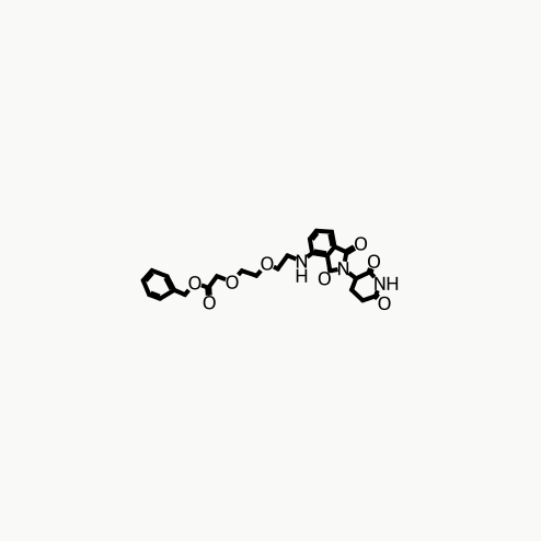 O=C1CCC(N2C(=O)c3cccc(NCCOCCOCC(=O)OCc4ccccc4)c3C2=O)C(=O)N1